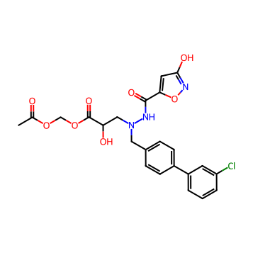 CC(=O)OCOC(=O)C(O)CN(Cc1ccc(-c2cccc(Cl)c2)cc1)NC(=O)c1cc(O)no1